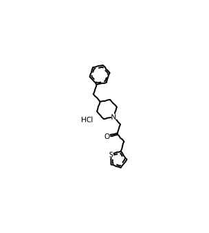 Cl.O=C(Cc1cccs1)CN1CCC(Cc2ccccc2)CC1